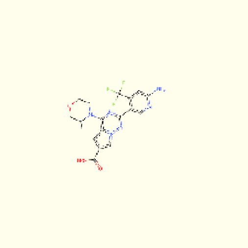 CC1COCCN1c1nc(-c2cnc(N)cc2C(F)(F)F)nn2cc(C(=O)O)cc12